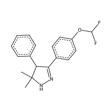 CC1(C)NN=C(c2ccc(OC(F)F)cc2)C1c1ccccc1